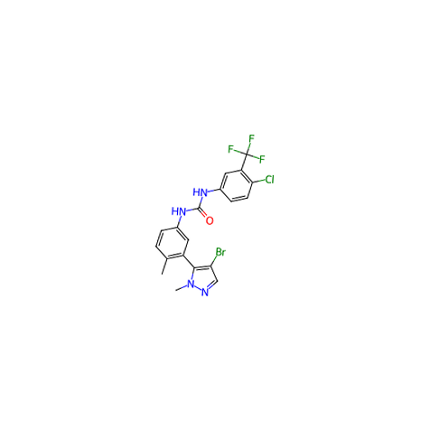 Cc1ccc(NC(=O)Nc2ccc(Cl)c(C(F)(F)F)c2)cc1-c1c(Br)cnn1C